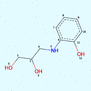 OCC(O)CNc1ccccc1O